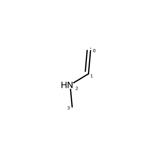 [CH]=CNC